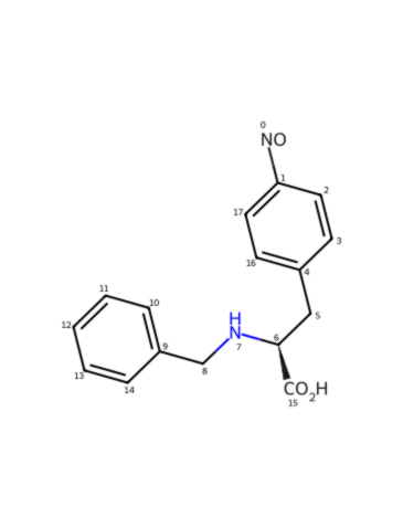 O=Nc1ccc(C[C@H](NCc2ccccc2)C(=O)O)cc1